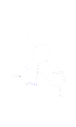 COC1CCC2c3ccc(Br)cc3C3(N=C(C)C(=S)N3)C2C1